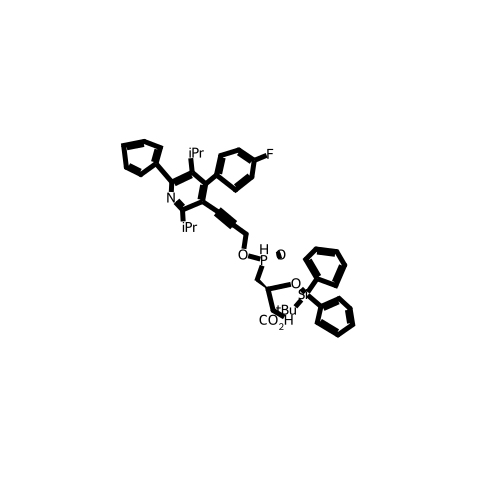 CC(C)c1nc(-c2ccccc2)c(C(C)C)c(-c2ccc(F)cc2)c1C#CCO[PH](=O)C[C@H](CC(=O)O)O[Si](c1ccccc1)(c1ccccc1)C(C)(C)C